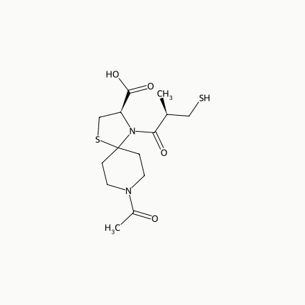 CC(=O)N1CCC2(CC1)SC[C@@H](C(=O)O)N2C(=O)[C@@H](C)CS